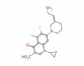 Cc1c(F)c(N2CCC/C(=C/CN)C2)cc2c1c(=O)c(C(=O)O)cn2C1CC1